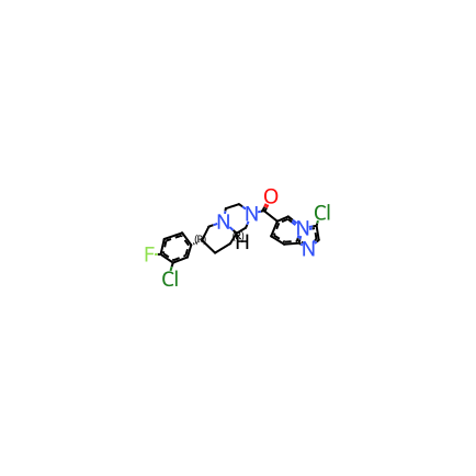 O=C(c1ccc2ncc(Cl)n2c1)N1CCN2C[C@@H](c3ccc(F)c(Cl)c3)CC[C@@H]2C1